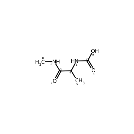 CNC(=O)C(C)NC(=O)O